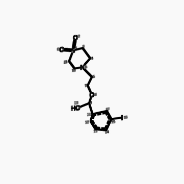 O=S1(=O)CCN(CCOC(O)c2cccc(I)c2)CC1